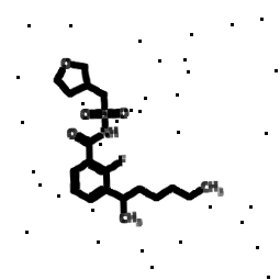 CCCCCC(C)c1cccc(C(=O)NS(=O)(=O)CC2CCOC2)c1F